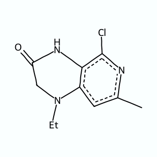 CCN1CC(=O)Nc2c1cc(C)nc2Cl